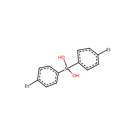 CCc1ccc([Si](O)(O)c2ccc(CC)cc2)cc1